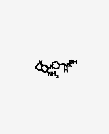 CB(O)NCC1CCN(c2cc3ncccc3cc2N)CC1